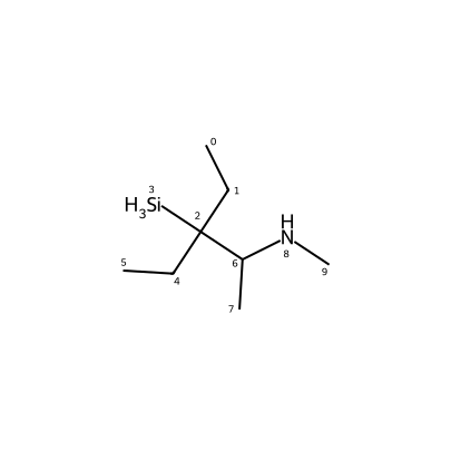 CCC([SiH3])(CC)C(C)NC